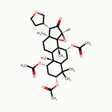 CC(=O)O[C@H]1C[C@@H](OC(C)=O)C(C)(C)C2C[C@@H](OC(C)=O)[C@]3(C)C(CC[C@@]4(C)[C@H](C5CCOC5)C(=O)[C@H]5O[C@]543)[C@]21C